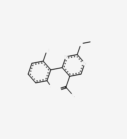 CSc1ncc(C(N)=O)c(-c2c(Cl)cccc2Cl)n1